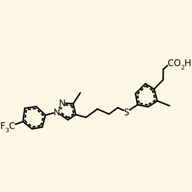 Cc1cc(SCCCCc2cn(-c3ccc(C(F)(F)F)cc3)nc2C)ccc1CCC(=O)O